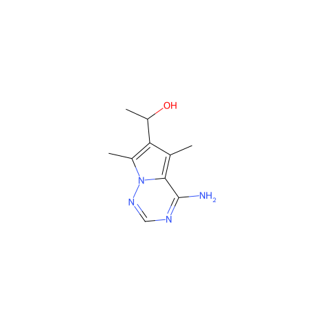 Cc1c(C(C)O)c(C)n2ncnc(N)c12